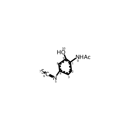 CC(=O)Nc1ccc(N=C=S)cc1O